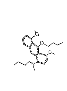 CCCCOc1c2c(OC)cccc2cc2c(N(C)CCCC)ccc(OC)c12